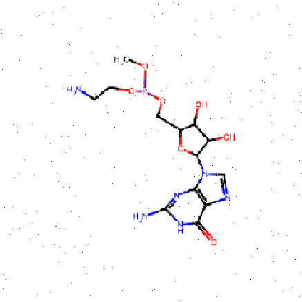 COP(OCCN)OCC1OC(n2cnc3c(=O)[nH]c(N)nc32)C(O)C1O